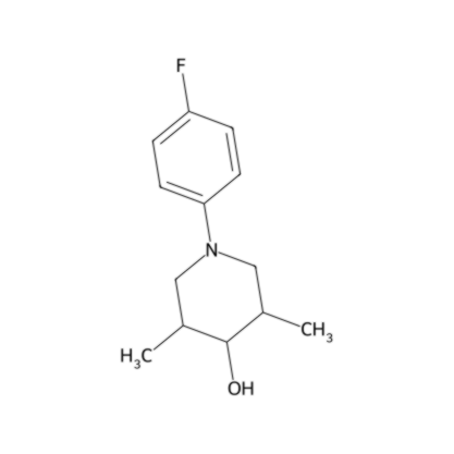 CC1CN(c2ccc(F)cc2)CC(C)C1O